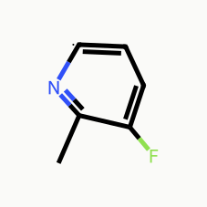 Cc1n[c]ccc1F